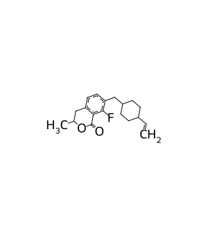 C=CC1CCC(Cc2ccc3c(c2F)C(=O)OC(C)C3)CC1